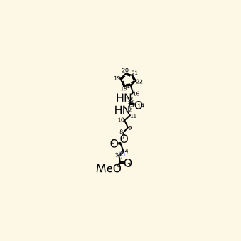 COC(=O)/C=C/C(=O)OCCCCNC(=O)NCc1ccccc1